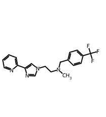 CN(CCn1cnc(-c2ccccn2)c1)Cc1ccc(C(F)(F)F)cc1